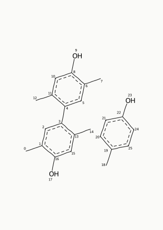 Cc1cc(-c2cc(C)c(O)cc2C)c(C)cc1O.Cc1ccc(O)cc1